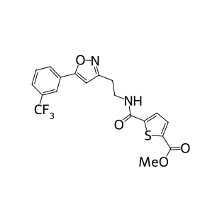 COC(=O)c1ccc(C(=O)NCCc2cc(-c3cccc(C(F)(F)F)c3)on2)s1